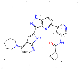 O=C(Nc1cncc(-c2ccc3[nH]nc(-c4cc5c(N6CCCCC6)ccnc5[nH]4)c3n2)c1)C1CCC1